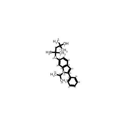 BC(C)(CC(C)(C)O)Oc1ccc2cc(-c3ccccc3)n(C(C)C)c2c1